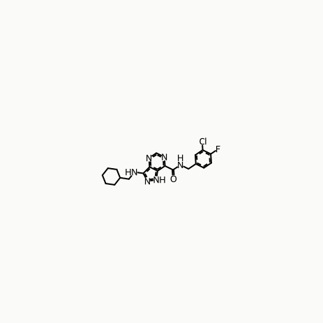 O=C(NCc1ccc(F)c(Cl)c1)c1ncnc2c(NCC3CCCCC3)n[nH]c12